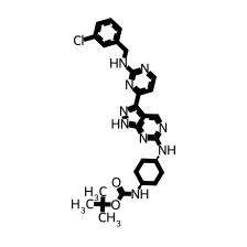 CC(C)(C)OC(=O)N[C@H]1CC[C@H](Nc2ncc3c(-c4ccnc(NCc5cccc(Cl)c5)n4)n[nH]c3n2)CC1